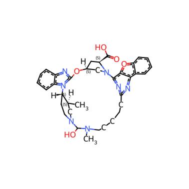 C[C@H]1CN2CC[C@@H]1n1c(nc3ccccc31)O[C@H]1C[C@@H](C(=O)O)N(C1)c1nc(nc3c1oc1ccccc13)CCCCCN(C)C2O